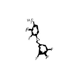 Cc1ccc(OCc2cc(F)c(F)c(F)c2)c(F)c1F